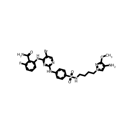 COc1nn(CCCCNS(=O)(=O)c2ccc(Nc3ncc(Br)c(Nc4cccc(F)c4C(N)=O)n3)cc2)cc1N